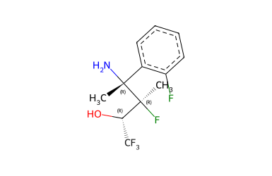 C[C@](F)([C@@H](O)C(F)(F)F)[C@](C)(N)c1ccccc1F